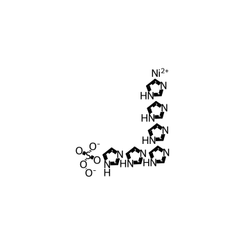 O=S(=O)([O-])O[O-].[Ni+2].c1c[nH]cn1.c1c[nH]cn1.c1c[nH]cn1.c1c[nH]cn1.c1c[nH]cn1.c1c[nH]cn1